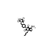 CCCCn1c(=O)n(C2CCC(CN3C(=O)NC(=O)C3(C)C)CC2)c(=O)c2c(N)snc21